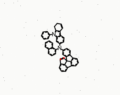 C1=Cc2c(n(-c3ccccc3)c3cc(N(c4ccc5c(c4)C46c7ccccc7-c7cccc(c74)-c4cccc-5c46)c4cccc5ccccc45)ccc23)CC1